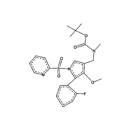 COc1c(CN(C)C(=O)OC(C)(C)C)cn(S(=O)(=O)c2ccccn2)c1-c1ccccc1F